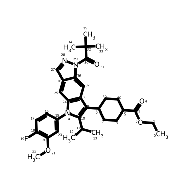 CCOC(=O)C1CCC(c2c(C(C)C)n(-c3ccc(F)c(OC)c3)c3cc4cnn(C(=O)C(C)(C)C)c4cc23)CC1